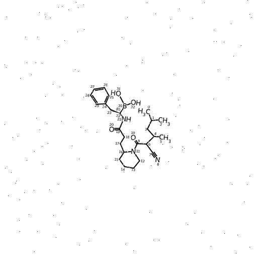 CC(C)CC(C)C(C#N)C(=O)N1CCCCC1CCC(=O)N[C@@H](Cc1ccccc1)B(O)O